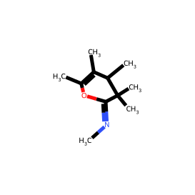 CN=C1OC(C)=C(C)C(C)C1(C)C